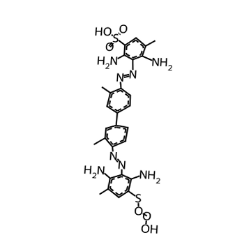 Cc1cc(-c2ccc(N=Nc3c(N)c(C)cc(S(=O)(=O)O)c3N)c(C)c2)ccc1N=Nc1c(N)c(C)cc(SOOO)c1N